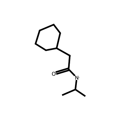 CC(C)[N]C(=O)CC1CCCCC1